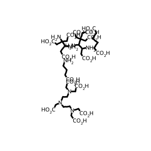 NC(CC(=O)O)C(N)(CC(=O)O)CC(=O)O.NC(CC(=O)O)C(N)C(CC(=O)O)(CC(=O)O)CC(=O)O.NCCCC(=O)O.O=C(O)CCCCC(=O)O.O=C(O)CN(CCN(CC(=O)O)CC(=O)O)CCN(CC(=O)O)CC(=O)O